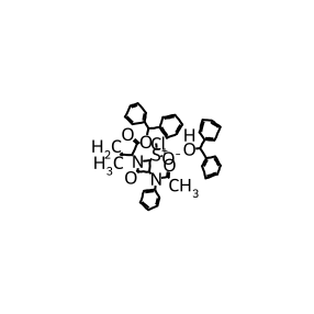 C=C(C)C(C(=O)OC(c1ccccc1)c1ccccc1)N1C(=O)C(N(C(C)=O)c2ccccc2)C1[S+]([O-])Cl.OC(c1ccccc1)c1ccccc1